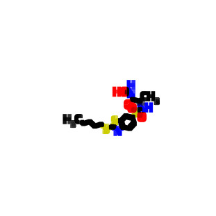 CCCCCSc1nc2ccc(S(=O)(=O)N[C@H](C)C(=O)NO)cc2s1